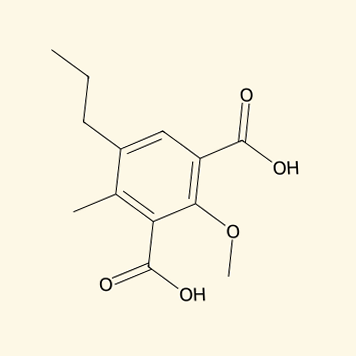 CCCc1cc(C(=O)O)c(OC)c(C(=O)O)c1C